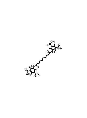 CNC(=O)c1c(I)c(NC(=O)CCCCCCCCC(=O)Nc2c(I)c(C(=O)O)c(I)c(C(=O)NC)c2I)c(I)c(C(=O)O)c1I